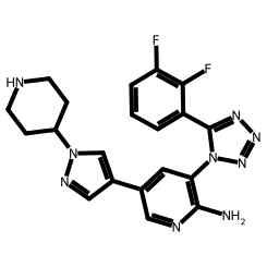 Nc1ncc(-c2cnn(C3CCNCC3)c2)cc1-n1nnnc1-c1cccc(F)c1F